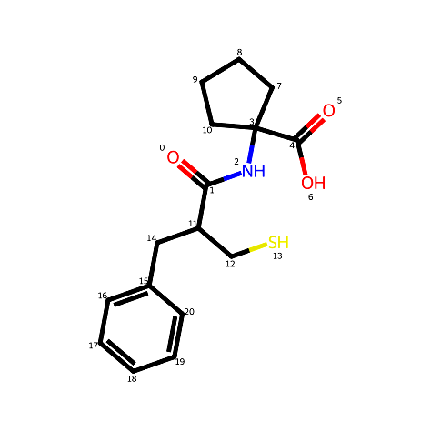 O=C(NC1(C(=O)O)CCCC1)C(CS)Cc1ccccc1